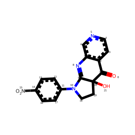 O=C1c2ccncc2N=C2N(c3ccc([N+](=O)[O-])cc3)CCC12O